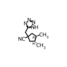 C[C@@H]1CC(C#N)(Cc2nnn[nH]2)C[C@H]1C